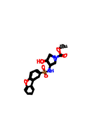 CC(C)(C)OC(=O)N1CC(O)C(NS(=O)(=O)c2ccc3oc4ccccc4c3c2)C1